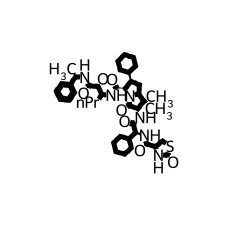 CCCC(NC(=O)[C@@H]1[C@@H](C2CCCCC2)CC2N1C(=O)[C@@H](NC(=O)[C@@H](NC(=O)C1CSC(=O)N1)C1CCCCC1)C2(C)C)C(=O)C(=O)N[C@@H](C)c1ccccc1